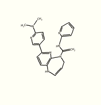 C=C(Nc1ccccn1)N1CC=CNc2ccc(-c3ccc(N(C)C)nc3)nc21